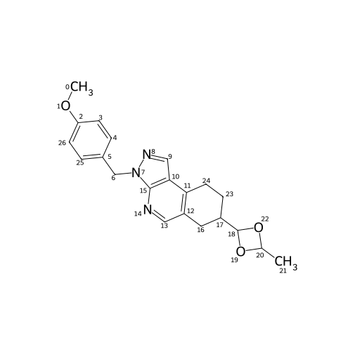 COc1ccc(Cn2ncc3c4c(cnc32)CC(C2OC(C)O2)CC4)cc1